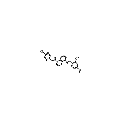 COc1ccc(CNc2nccc3c(NCc4cnc(Cl)cc4C)cccc23)c(OC)c1